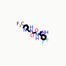 O=C(NCc1ccc(C(F)(F)F)cn1)C(=O)Nc1c[nH]c2cc(F)c(F)cc12